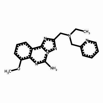 CCN(Cc1ccccn1)Cc1nc2c3cccc(OC)c3nc(N)n2n1